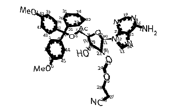 COc1ccc(C(OC(C(C)=O)[C@H]2O[C@@H](n3cnc4c(N)ncnc43)[C@H](OCOCCC#N)[C@@H]2O)(c2ccccc2)c2ccc(OC)cc2)cc1